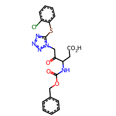 O=C(O)CC(NC(=O)OCc1ccccc1)C(=O)Cn1nnnc1Sc1ccccc1Cl